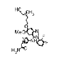 C#CCN(C)CCCOc1cc2c(cc1OC)=C(Nc1cnn(CC(N)=O)c1)N(c1cccc(F)c1F)CN=2